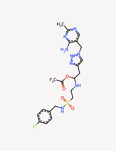 Cc1ncc(Cn2cc(CC(NCCS(=O)(=O)NCc3ccc(F)cc3)OC(=O)C(F)(F)F)nn2)c(N)n1